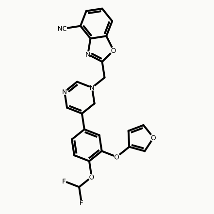 N#Cc1cccc2oc(CN3C=NC=C(c4ccc(OC(F)F)c(Oc5ccoc5)c4)C3)nc12